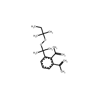 C=C(C)c1cccc(C(C)(C)OOC(C)(C)CC)c1C(=C)C